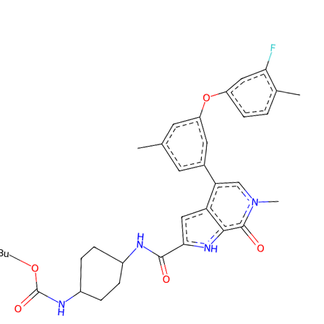 Cc1cc(Oc2ccc(C)c(F)c2)cc(-c2cn(C)c(=O)c3[nH]c(C(=O)NC4CCC(NC(=O)OC(C)(C)C)CC4)cc23)c1